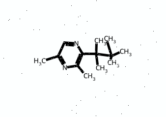 Cc1cnc(C(C)(C)C(C)(C)C)c(C)n1